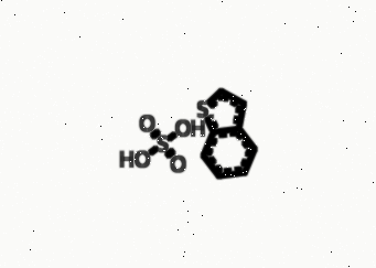 O=S(=O)(O)O.c1ccc2sccc2c1